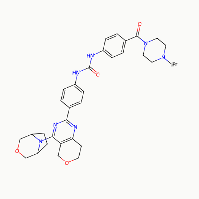 CC(C)N1CCN(C(=O)c2ccc(NC(=O)Nc3ccc(-c4nc5c(c(N6C7CCC6COC7)n4)COCC5)cc3)cc2)CC1